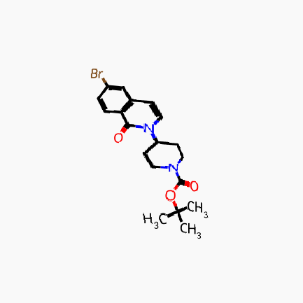 CC(C)(C)OC(=O)N1CCC(n2ccc3cc(Br)ccc3c2=O)CC1